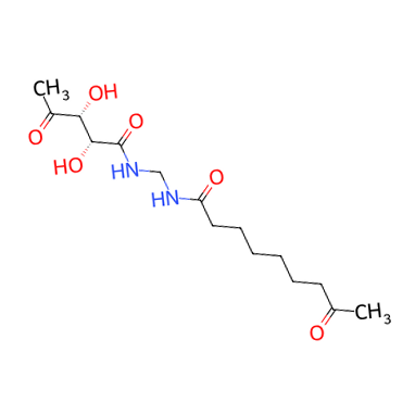 CC(=O)CCCCCCC(=O)NCNC(=O)[C@H](O)[C@@H](O)C(C)=O